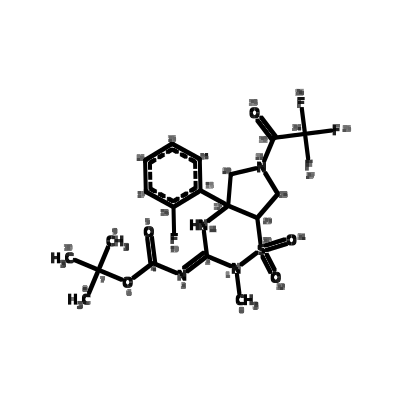 CN1/C(=N/C(=O)OC(C)(C)C)NC2(c3ccccc3F)CN(C(=O)C(F)(F)F)CC2S1(=O)=O